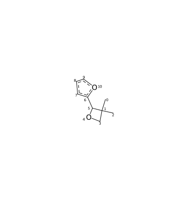 CC1(C)COC1c1ccco1